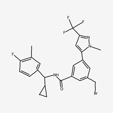 Cc1cc(C(NC(=O)c2cc(CBr)cc(-c3cc(C(F)(F)F)nn3C)c2)C2CC2)ccc1F